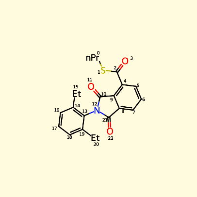 CCCSC(=O)c1cccc2c1C(=O)N(c1c(CC)cccc1CC)C2=O